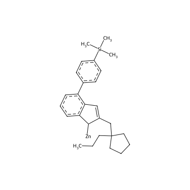 CCCC1(CC2=Cc3c(-c4ccc([Si](C)(C)C)cc4)cccc3[CH]2[Zn])CCCC1